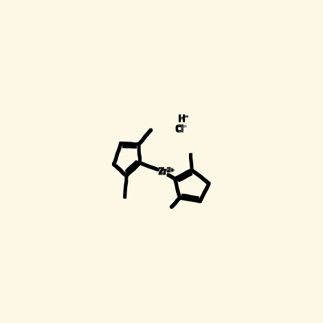 CC1=CCC(C)=[C]1[Zr+2][C]1=C(C)CC=C1C.[Cl-].[H-]